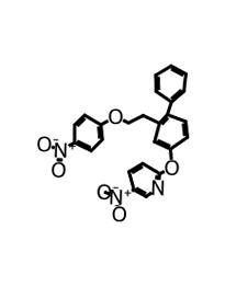 O=[N+]([O-])c1ccc(OCCc2cc(Oc3ccc([N+](=O)[O-])cn3)ccc2-c2ccccc2)cc1